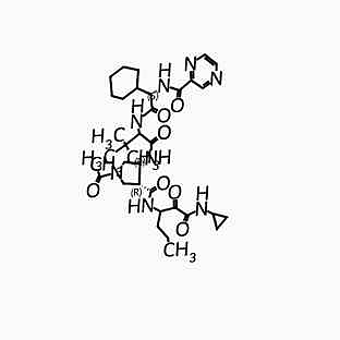 CCCC(NC(=O)[C@@H]1CN(C(C)=O)C[C@@H]1NC(=O)C(NC(=O)[C@@H](NC(=O)c1cnccn1)C1CCCCC1)C(C)(C)C)C(=O)C(=O)NC1CC1